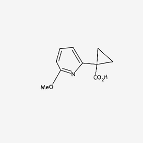 COc1cccc(C2(C(=O)O)CC2)n1